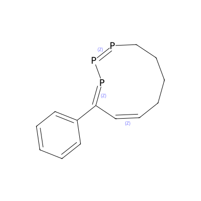 C1=C/C(c2ccccc2)=P/P=P\CCCC\1